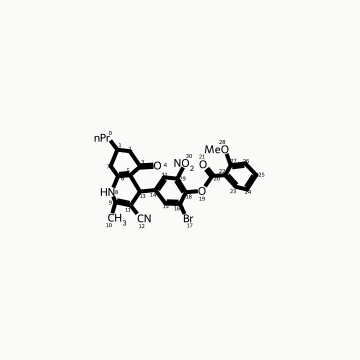 CCCC1CC(=O)C2=C(C1)NC(C)=C(C#N)C2c1cc(Br)c(OC(=O)c2ccccc2OC)c([N+](=O)[O-])c1